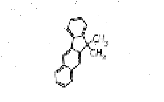 CC1(C)c2ccccc2-c2cc3ccccc3cc21